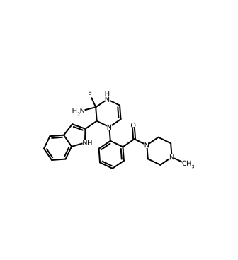 CN1CCN(C(=O)c2ccccc2N2C=CNC(N)(F)C2c2cc3ccccc3[nH]2)CC1